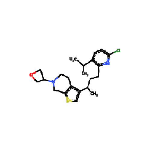 CC(C)c1ccc(Cl)nc1CCC(C)c1csc2c1CCN(C1COC1)C2